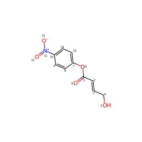 O=C(C=CCO)Oc1ccc([N+](=O)[O-])cc1